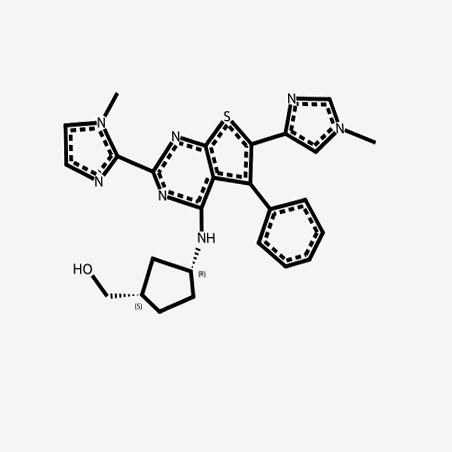 Cn1cnc(-c2sc3nc(-c4nccn4C)nc(N[C@@H]4CC[C@H](CO)C4)c3c2-c2ccccc2)c1